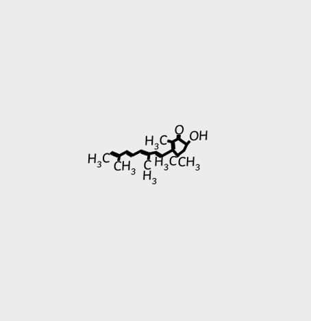 C/C=C(C)/C=C/C=C(C)/C=C/C1=C(C)C(=O)C(O)CC1(C)C